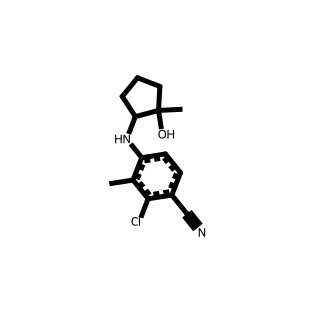 Cc1c(NC2CCCC2(C)O)ccc(C#N)c1Cl